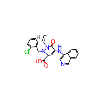 CCN1C(=O)C(Nc2cncc3ccccc23)=CC(C(=O)O)N1Cc1ccccc1Cl